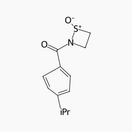 CC(C)c1ccc(C(=O)N2CC[S+]2[O-])cc1